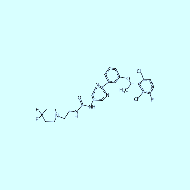 CC(Oc1cccc(-c2ncc(NC(=O)NCCN3CCC(F)(F)CC3)cn2)c1)c1c(Cl)ccc(F)c1Cl